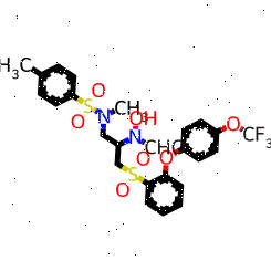 Cc1ccc(S(=O)(=O)N(C)CC(CS(=O)(=O)c2ccccc2Oc2ccc(OC(F)(F)F)cc2)N(O)C=O)cc1